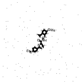 CCOc1ccc(-c2cncc(C(=O)NOCc3cc(OC)ccc3C3CC3)n2)cc1